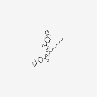 [CH2]CCCCCCC[C](OOC(=O)c1ccc([Si](C)(C=C)C=C)cc1)OOC(=O)c1ccc([Si](C)(C=C)C=C)cc1